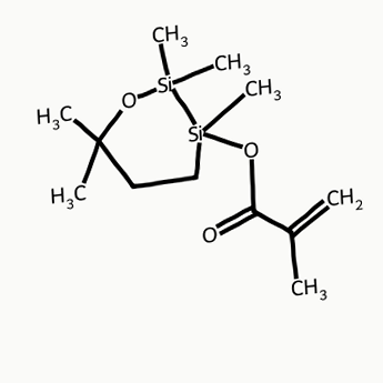 C=C(C)C(=O)O[Si]1(C)CCC(C)(C)O[Si]1(C)C